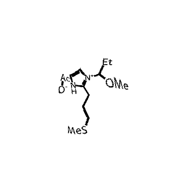 CC(=O)[O-].CCC(OC)[n+]1cc[nH]c1CCCSC